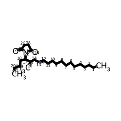 CCCCCCCCCCCC/C=C/CC(C)C(CCCC)N1C(=O)CCC1=O